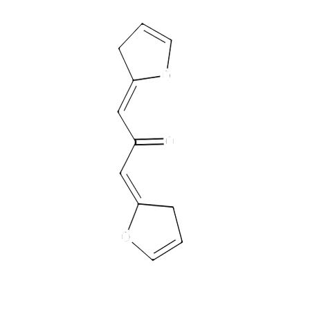 O=C(C=C1CC=CO1)C=C1CC=CO1